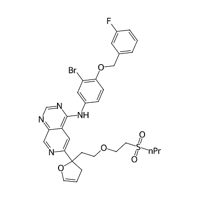 CCCS(=O)(=O)CCOCCC1(c2cc3c(Nc4ccc(OCc5cccc(F)c5)c(Br)c4)ncnc3cn2)CC=CO1